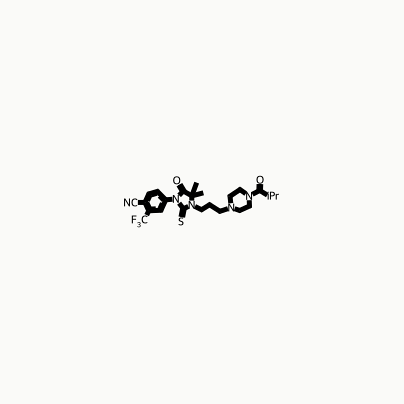 CC(C)C(=O)N1CCN(CCCN2C(=S)N(c3ccc(C#N)c(C(F)(F)F)c3)C(=O)C2(C)C)CC1